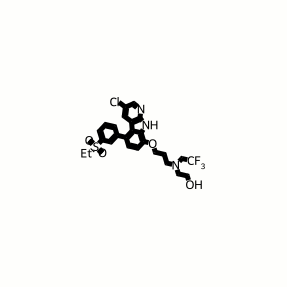 CCS(=O)(=O)c1cccc(-c2ccc(OCCCN(CCO)CC(F)(F)F)c3[nH]c4ncc(Cl)cc4c23)c1